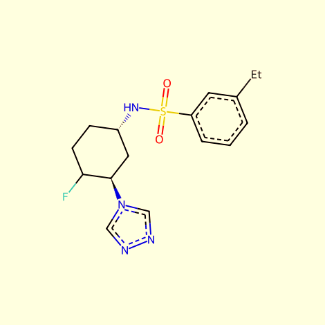 CCc1cccc(S(=O)(=O)N[C@H]2CCC(F)[C@H](n3cnnc3)C2)c1